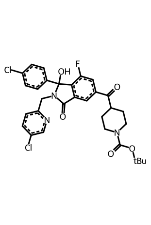 CC(C)(C)OC(=O)N1CCC(C(=O)c2cc(F)c3c(c2)C(=O)N(Cc2ccc(Cl)cn2)C3(O)c2ccc(Cl)cc2)CC1